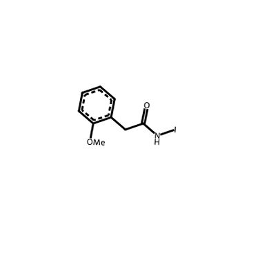 COc1ccccc1CC(=O)NI